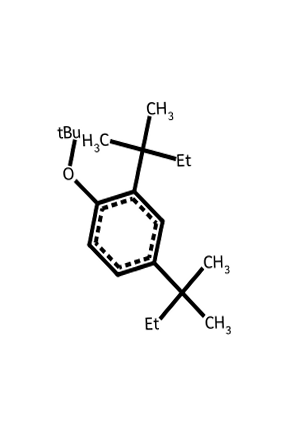 CCC(C)(C)c1ccc(OC(C)(C)C)c(C(C)(C)CC)c1